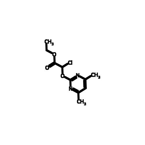 CCOC(=O)C(Cl)Oc1nc(C)cc(C)n1